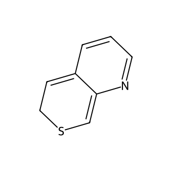 C1=c2cccnc2=CSC1